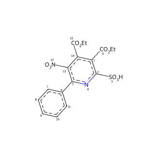 CCOC(=O)c1c(S(=O)(=O)O)nc(-c2ccccc2)c([N+](=O)[O-])c1C(=O)OCC